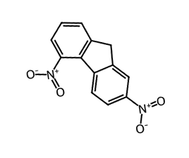 O=[N+]([O-])c1ccc2c(c1)Cc1cccc([N+](=O)[O-])c1-2